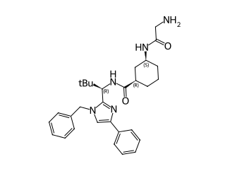 CC(C)(C)[C@@H](NC(=O)[C@@H]1CCC[C@H](NC(=O)CN)C1)c1nc(-c2ccccc2)cn1Cc1ccccc1